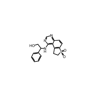 O=S1(=O)CCc2c1ccc1ncnc(NC(CO)c3ccccc3)c21